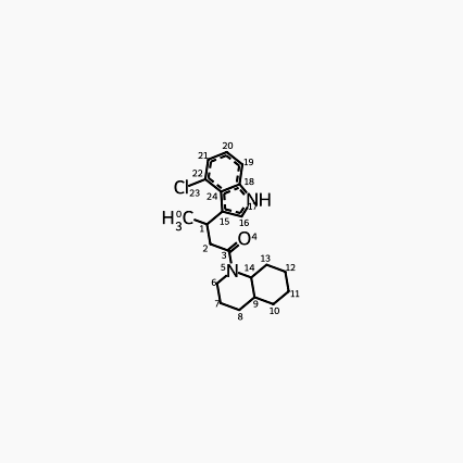 CC(CC(=O)N1CCCC2CCCCC21)c1c[nH]c2cccc(Cl)c12